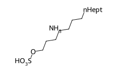 CCCCCCCCCCCCCCOS(=O)(=O)O.N